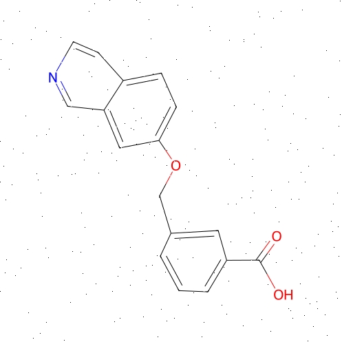 O=C(O)c1cccc(COc2ccc3ccncc3c2)c1